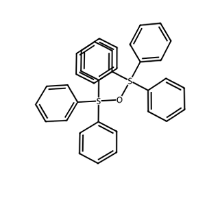 c1ccc(S(OS(c2ccccc2)(c2ccccc2)c2ccccc2)(c2ccccc2)c2ccccc2)cc1